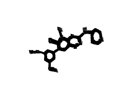 CCn1c(=O)c(-c2cc(OC)cc(OC)c2)cc2nnc(Nc3ccncc3)nc21